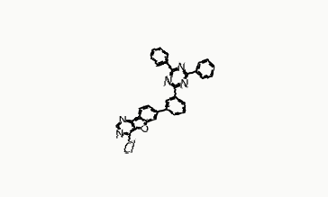 Clc1ncnc2c1oc1cc(-c3cccc(-c4nc(-c5ccccc5)nc(-c5ccccc5)n4)c3)ccc12